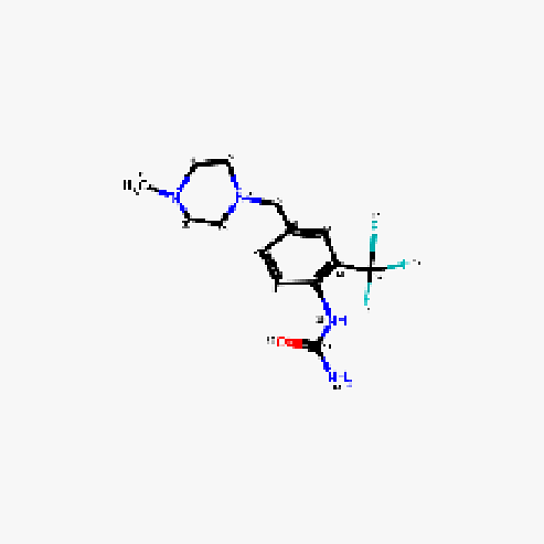 CN1CCN(Cc2ccc(NC(N)=O)c(C(F)(F)F)c2)CC1